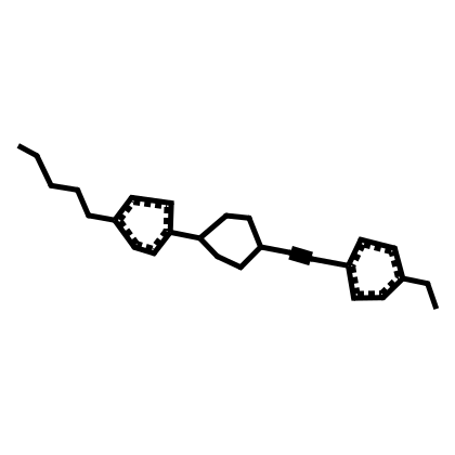 CCCCCc1ccc(C2CCC(C#Cc3ccc(CC)cc3)CC2)cc1